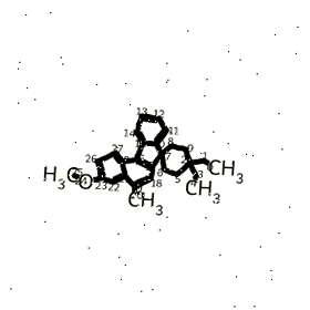 CCC1(CC)CCC2(CC1)c1ccccc1-c1c2cc(C)c2cc(OC)ccc12